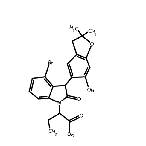 CCC(C(=O)O)N1C(=O)C(c2cc3c(cc2O)OC(C)(C)C3)c2c(Br)cccc21